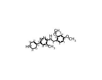 COc1ccc(CNc2nnc(C3=CCNCC3)cc2C)c(OC)c1